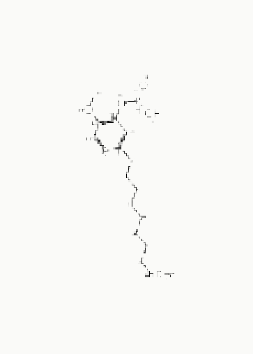 CCCCCCCCCCCCCCCCCCc1ccc(OI)c(O[PH](=O)O)c1